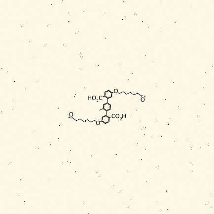 Cc1cc(-c2cc(OCCCCCCC3CO3)ccc2C(=O)O)ccc1-c1cc(OCCCCCCC2CO2)ccc1C(=O)O